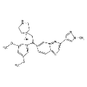 COc1cc(OC)cc(N(CC2(O)CCNCC2)c2ccc3ncc(-c4cnn(C)c4)nc3c2)c1